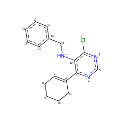 Clc1ncnc(C2=CCCCC2)c1NCc1ccccc1